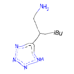 CCC(C)C(CN)c1nnn[nH]1